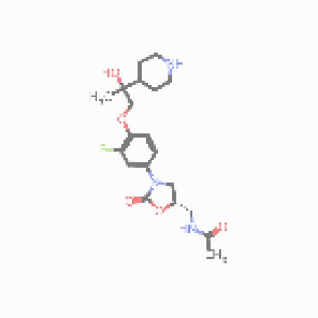 CC(=O)NC[C@H]1CN(c2ccc(OCC(C)(O)C3CCNCC3)c(F)c2)C(=O)O1